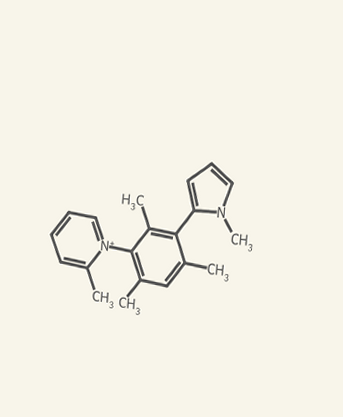 Cc1cc(C)c(-[n+]2ccccc2C)c(C)c1-c1cccn1C